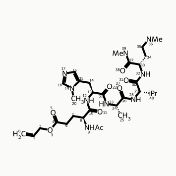 C=CCOC(=O)CC[C@H](NC(C)=O)C(=O)N[C@@H](Cc1cncn1C)C(=O)N[C@@H](C)C(=O)N[C@H](C(=O)N[C@@H](CCNC)C(=O)NC)C(C)C